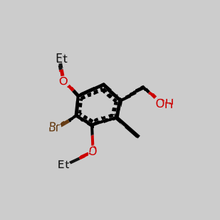 CCOc1cc(CO)c(C)c(OCC)c1Br